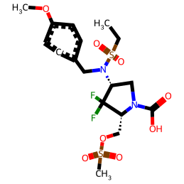 CCS(=O)(=O)N(Cc1ccc(OC)cc1)[C@@H]1CN(C(=O)O)[C@H](COS(C)(=O)=O)C1(F)F